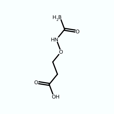 BC(=O)NOCCC(=O)O